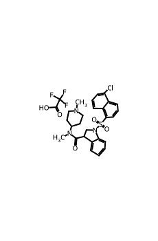 CN1CCC(N(C)C(=O)C2CN(S(=O)(=O)c3cccc4c(Cl)cccc34)c3ccccc32)CC1.O=C(O)C(F)(F)F